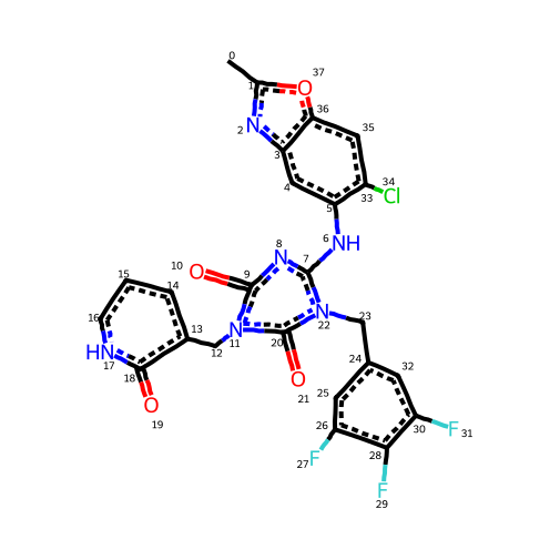 Cc1nc2cc(Nc3nc(=O)n(Cc4ccc[nH]c4=O)c(=O)n3Cc3cc(F)c(F)c(F)c3)c(Cl)cc2o1